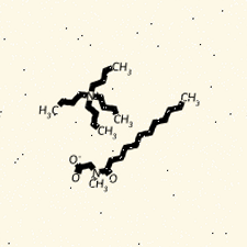 CCCCCCCCCCCC(=O)N(C)CC(=O)[O-].CCCC[N+](CCCC)(CCCC)CCCC